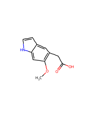 COc1cc2[nH]ccc2cc1CC(=O)O